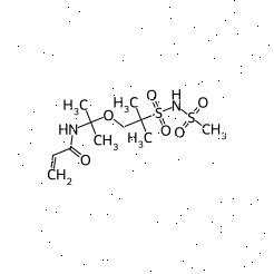 C=CC(=O)NC(C)(C)OCC(C)(C)S(=O)(=O)NS(C)(=O)=O